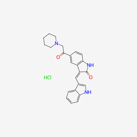 Cl.O=C1Nc2ccc(C(=O)CN3CCCCC3)cc2C1=Cc1c[nH]c2ccccc12